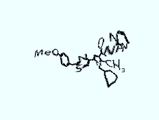 COc1ccc(-c2nc(-c3cc(C(=O)Nc4ncccn4)c(C)n3CC3CCCCC3)cs2)cc1